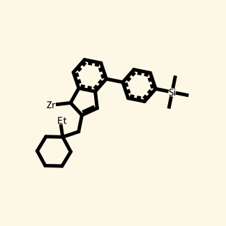 CCC1(CC2=Cc3c(-c4ccc([Si](C)(C)C)cc4)cccc3[CH]2[Zr])CCCCC1